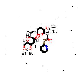 CC[Si](CC)(CC)O[C@@H]1[C@H](CC(=O)Sc2ccccn2)O[C@]2(C[C@H](C)[C@@H]3O[C@@H]4CO[Si](CC)(CC)O[C@@H]4C[C@@H]3O2)C[C@@H]1C